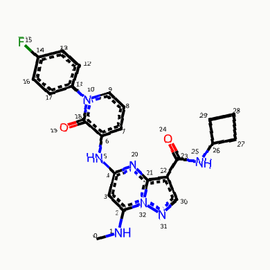 CNc1cc(Nc2cccn(-c3ccc(F)cc3)c2=O)nc2c(C(=O)NC3CCC3)cnn12